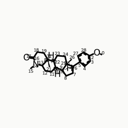 COc1ccc(C2CC[C@H]3[C@@H]4CCC5N(C)C(=O)CC[C@]5(C)[C@@H]4CC[C@]23C)cc1